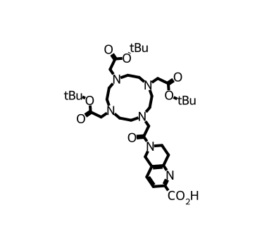 CC(C)(C)OC(=O)CN1CCN(CC(=O)OC(C)(C)C)CCN(CC(=O)N2CCc3nc(C(=O)O)ccc3C2)CCN(CC(=O)OC(C)(C)C)CC1